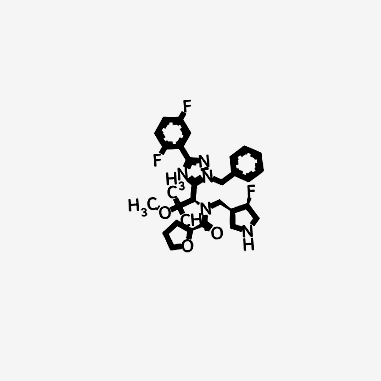 COC(C)(C)[C@H](c1nc(-c2cc(F)ccc2F)nn1Cc1ccccc1)N(C[C@@H]1CNC[C@@H]1F)C(=O)[C@@H]1CCCO1